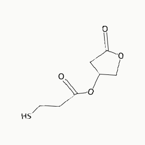 O=C1CC(OC(=O)CCS)CO1